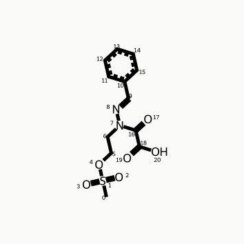 CS(=O)(=O)OCCN(/N=C/c1ccccc1)C(=O)C(=O)O